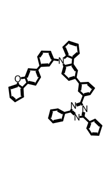 c1ccc(-c2nc(-c3ccccc3)nc(-c3cccc(-c4ccc5c(c4)c4ccccc4n5-c4cccc(-c5ccc6c(c5)oc5ccccc56)c4)c3)n2)cc1